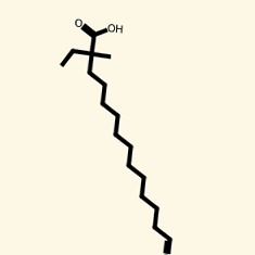 CCC(C)(CCCCCCCCCCCC=O)C(=O)O